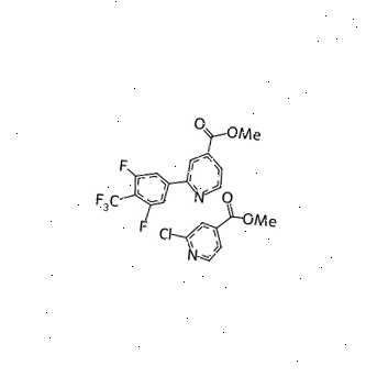 COC(=O)c1ccnc(-c2cc(F)c(C(F)(F)F)c(F)c2)c1.COC(=O)c1ccnc(Cl)c1